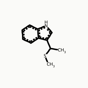 CSC(C)c1c[nH]c2ccccc12